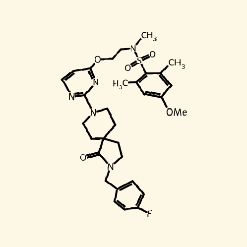 COc1cc(C)c(S(=O)(=O)N(C)CCOc2ccnc(N3CCC4(CCN(Cc5ccc(F)cc5)C4=O)CC3)n2)c(C)c1